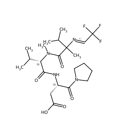 CC(C)[C@@H](C(=O)N[C@@H](CC(=O)O)C(=O)N1CCCC1)N(C)C(=O)C(C)(/N=C/C(F)(F)F)C(C)C